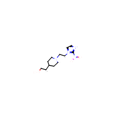 O=[N+]([O-])c1nccn1CCN1CCC(CCO)CC1